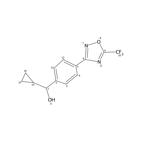 OC(c1ccc(-c2noc(C(F)(F)F)n2)cc1)C1CC1